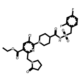 CCOC(=O)c1cc(Cl)c(N2CCC(C(=O)NS(=O)(=O)Cc3ccc(F)cc3F)CC2)nc1CN1CCCC1=O